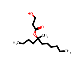 CCCCCCC(C)(CCCC)OC(=O)CCO